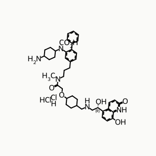 CN(CCCc1ccc(-c2ccccc2)c(N(C(=O)O)C2CCC(N)CC2)c1)C(=O)COC1CCC(CNC[C@H](O)c2ccc(O)c3[nH]c(=O)ccc23)CC1.Cl.Cl